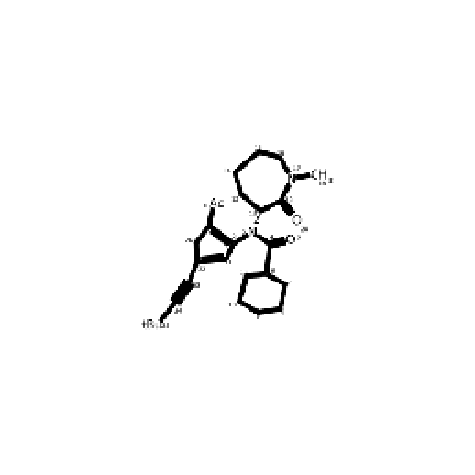 CC(=O)C1=C(N(C(=O)C2CCCCC2)[C@@H]2CCCCN(C)C2=O)C=C(C#CC(C)(C)C)C1